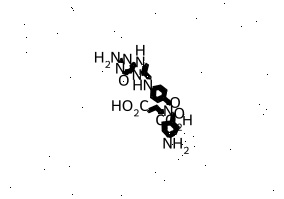 Nc1ccc(C(=O)N(C(=O)c2ccc(NCc3c[nH]c4nc(N)nc(=O)c-4n3)cc2)C(CCC(=O)O)C(=O)O)cc1